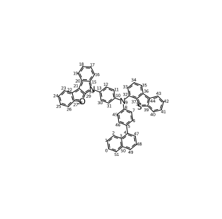 c1ccc2c(-c3ccc(N(c4ccc(-n5c6ccccc6c6c7ccccc7oc65)cc4)c4cccc5c4sc4ccccc45)cc3)cccc2c1